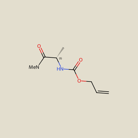 C=CCOC(=O)N[C@@H](C)C(=O)NC